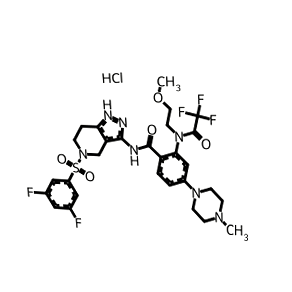 COCCN(C(=O)C(F)(F)F)c1cc(N2CCN(C)CC2)ccc1C(=O)Nc1n[nH]c2c1CN(S(=O)(=O)c1cc(F)cc(F)c1)CC2.Cl